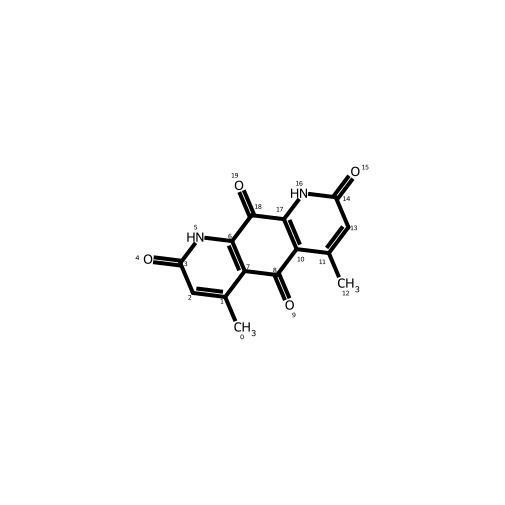 Cc1cc(=O)[nH]c2c1C(=O)c1c(C)cc(=O)[nH]c1C2=O